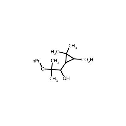 CCCOC(C)(C)C(O)C1C(C(=O)O)C1(C)C